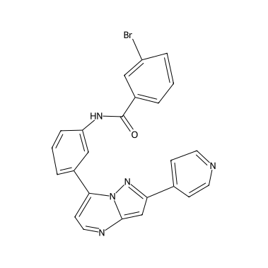 O=C(Nc1cccc(-c2ccnc3cc(-c4ccncc4)nn23)c1)c1cccc(Br)c1